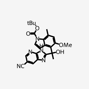 COc1cc(C)c2c(ccn2C(=O)OC(C)(C)C)c1C(C)(O)c1nc2cc(C#N)cnc2[nH]1